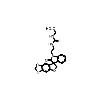 O=C(O)CNC(=O)NCCN1C(=O)C2(COc3cc4c(cc32)OCO4)c2ccccc21